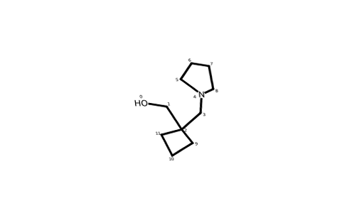 OCC1(CN2CCCC2)CCC1